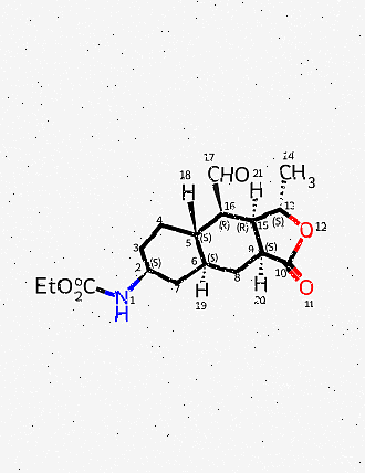 CCOC(=O)N[C@H]1CC[C@H]2[C@H](C1)C[C@@H]1C(=O)O[C@@H](C)[C@@H]1[C@@H]2C=O